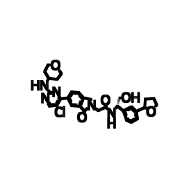 O=C(CN1Cc2ccc(-c3nc(NC4CCOCC4)ncc3Cl)cc2C1=O)N[C@H](CO)c1cccc(C2CCCO2)c1